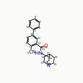 N#Cc1ccc(-c2ccccc2)cc1C(=O)NC1CN2CCC1CC2